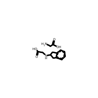 NCC(=O)O.O=C(O)CNC1Cc2ccccc2C1